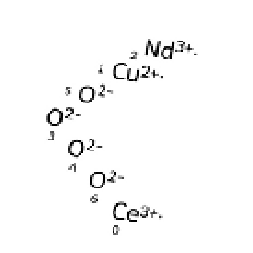 [Ce+3].[Cu+2].[Nd+3].[O-2].[O-2].[O-2].[O-2]